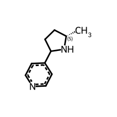 C[C@H]1CCC(c2ccncc2)N1